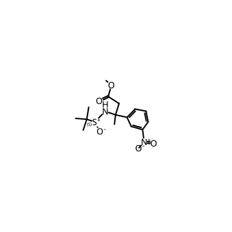 COC(=O)CC(C)(N[S@+]([O-])C(C)(C)C)c1cccc([N+](=O)[O-])c1